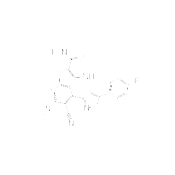 N#Cc1c(N)nc2sc(C(N)=O)c(N)c2c1-c1cc(-c2ccc(F)cc2)on1